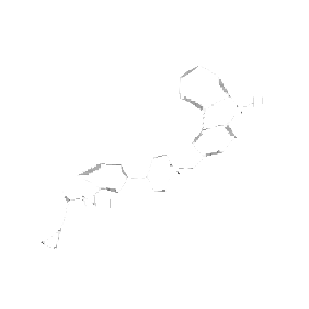 CCn1c2ccccc2c2cc(CN3CCC(c4cccc(NC(=O)C5CC5)c4)CC3)ccc21